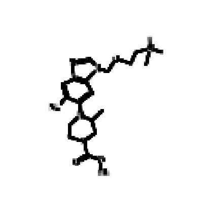 CC1CN(C(=O)OC(C)(C)C)CCN1c1cc2c(cc1C#N)ncn2COCC[Si](C)(C)C